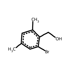 Cc1cc(C)c(CO)c(Br)c1